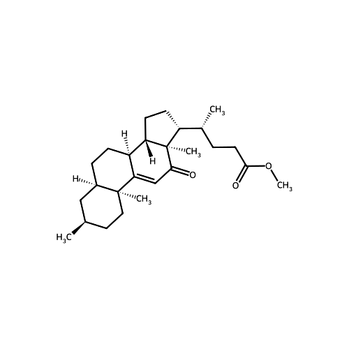 COC(=O)CC[C@@H](C)[C@H]1CC[C@H]2[C@@H]3CC[C@@H]4C[C@H](C)CC[C@]4(C)C3=CC(=O)[C@]12C